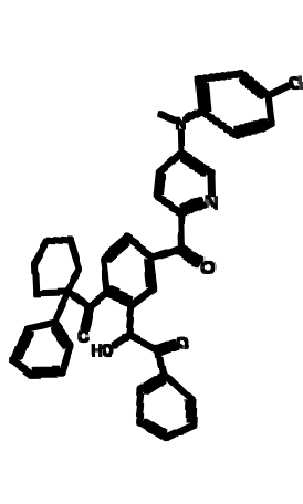 CN(c1ccc(Cl)cc1)c1ccc(C(=O)c2ccc(C(=O)C3(c4ccccc4)CCCCC3)c(C(O)C(=O)c3ccccc3)c2)nc1